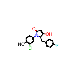 N#Cc1ccc(N2C(=O)C=C(O)C2Cc2ccc(F)cc2)cc1Cl